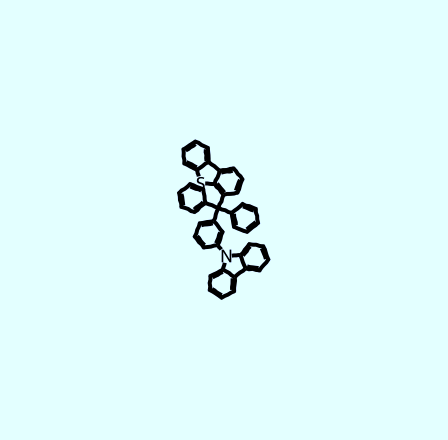 c1ccc(C(c2ccccc2)(c2cccc(-n3c4ccccc4c4ccccc43)c2)c2cccc3c2sc2ccccc23)cc1